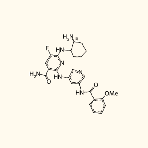 COc1ccccc1C(=O)Nc1cncc(Nc2nc(NC3CCCC[C@@H]3N)c(F)cc2C(N)=O)c1